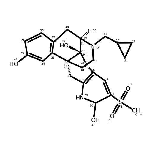 CS(=O)(=O)C1=CC2=C(C[C@]34CCN(CC5CC5)[C@H](Cc5ccc(O)cc53)[C@]4(O)C2)NC1O